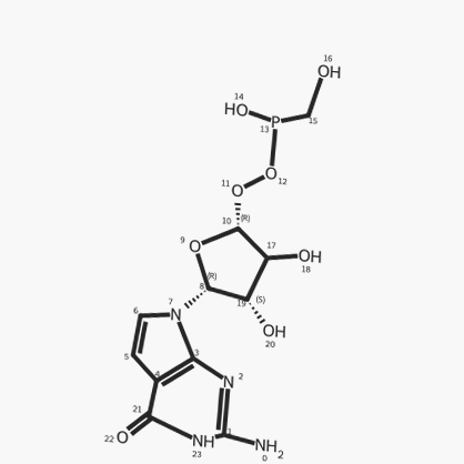 Nc1nc2c(ccn2[C@@H]2O[C@H](OOP(O)CO)C(O)[C@@H]2O)c(=O)[nH]1